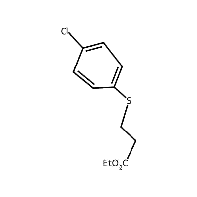 CCOC(=O)CCSc1ccc(Cl)cc1